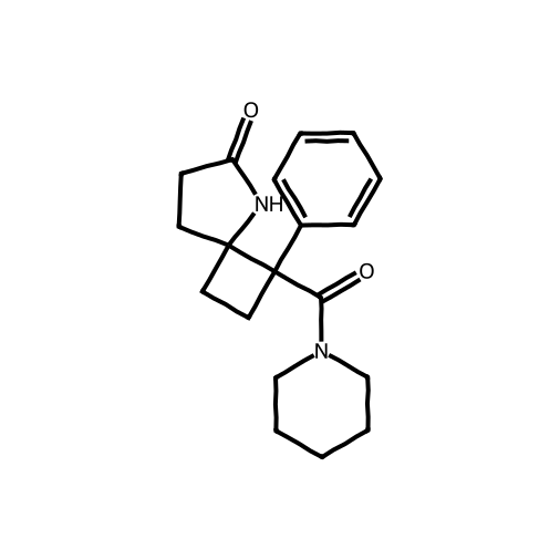 O=C1CCC2(CCC2(C(=O)N2CCCCC2)c2ccccc2)N1